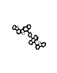 c1ccc2c(-c3ccc(-c4c5ccccc5c(-c5cccc6c5oc5ccccc56)c5ccccc45)cc3)c3oc4ccc5c6ccccc6oc5c4c3cc2c1